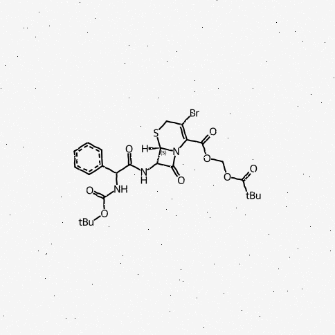 CC(C)(C)OC(=O)NC(C(=O)NC1C(=O)N2C(C(=O)OCOC(=O)C(C)(C)C)=C(Br)CS[C@@H]12)c1ccccc1